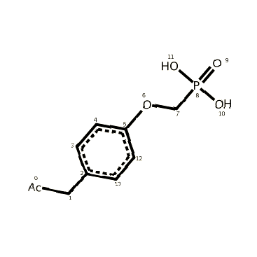 CC(=O)Cc1ccc(OCP(=O)(O)O)cc1